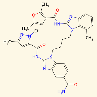 CCn1nc(C)cc1C(=O)Nc1nc2cc(C(N)=O)ccc2n1CCCCn1c(NC(=O)c2cc(C)oc2C)nc2cccc(C)c21